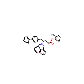 CC(C)[C@H]1CC[C@H](C)C[C@@H]1OC(=O)[C@H](C)CC(Cc1ccc(-c2ccccc2)cc1)N(Cc1ccccc1)Cc1ccccc1